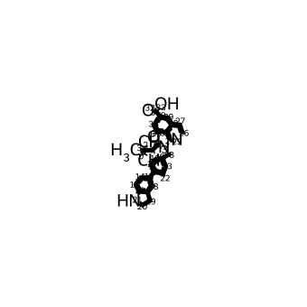 CC(C)(C)CC(=O)N(Cc1ccc(-c2ccc3c(c2)CCN3)cc1)c1nccc2cc(C(=O)O)ccc12